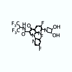 O=C(NC(C(F)(F)F)C(F)(F)F)c1cn(-c2ncc(F)cc2F)c2nc(N3C[C@@H](O)[C@H](O)C3)c(F)cc2c1=O